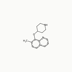 Cc1ccc2cccnc2c1OC1CCNCC1